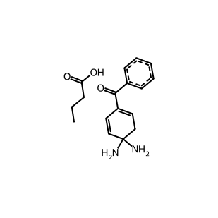 CCCC(=O)O.NC1(N)C=CC(C(=O)c2ccccc2)=CC1